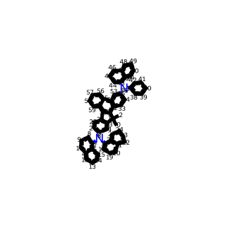 CC1(C)c2cc(N(c3cccc4ccccc34)c3cccc4ccccc34)ccc2-c2c1c1ccc(N(c3ccccc3)c3cccc4ccccc34)cc1c1ccccc21